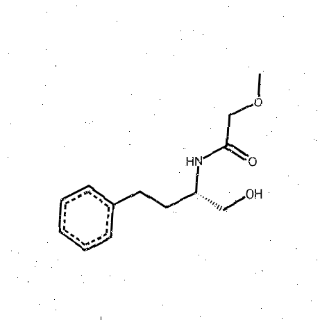 COCC(=O)N[C@H](CO)CCc1ccccc1